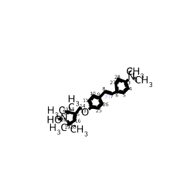 CN(C)c1ccc(/C=C/c2ccc(OCC3=CC(C)(C)N(O)C3(C)C)cc2)cc1